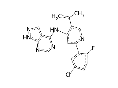 C=C(C)c1cnc(-c2cc(Cl)ccc2F)cc1Nc1ncnc2[nH]ncc12